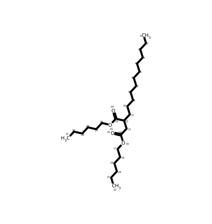 CCCCCCCCCCCCC(CC(=O)OCCCCCC)C(=O)OCCCCCC